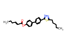 CCCC=CC(=O)Oc1ccc(-c2ccc(-c3nnc(CCCCC)s3)cc2)cc1